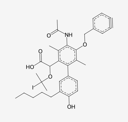 CCCCCc1cc(-c2c(C)c(OCc3cc#ccc3)c(NC(C)=O)c(C)c2C(OC(C)(C)I)C(=O)O)ccc1O